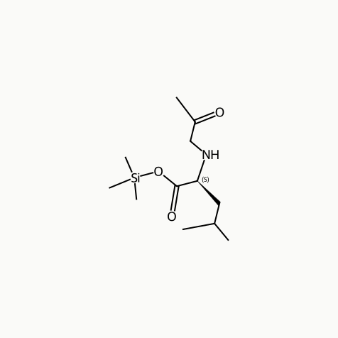 CC(=O)CN[C@@H](CC(C)C)C(=O)O[Si](C)(C)C